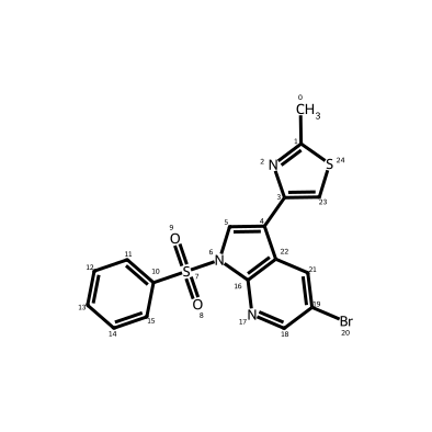 Cc1nc(-c2cn(S(=O)(=O)c3ccccc3)c3ncc(Br)cc23)cs1